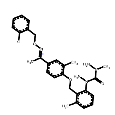 C/C(=N\OCc1ccccc1Cl)c1ccc(OCc2c(C)cccc2N(N)C(=O)N(C)N)c(C)c1